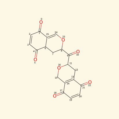 O=C1C=CC(=O)C2CC(C(=O)C3CC4=C(CO3)C(=O)C=CC4=O)OC=C12